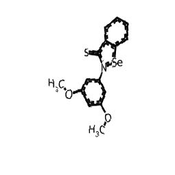 COc1cc(OC)cc(-n2[se]c3ccccc3c2=S)c1